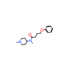 CN1CCC(N(C)C(=O)CCCOc2ccccc2)CC1